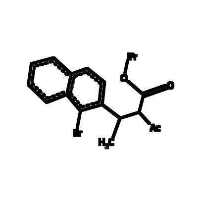 CC(=O)C(C(=O)OC(C)C)C(C)c1ccc2ccccc2c1Br